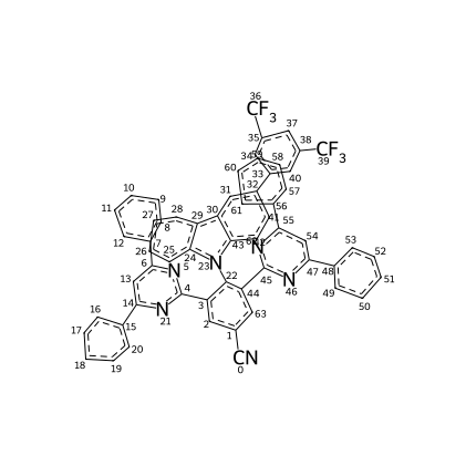 N#Cc1cc(-c2nc(-c3ccccc3)cc(-c3ccccc3)n2)c(-n2c3ccccc3c3cc(-c4cc(C(F)(F)F)cc(C(F)(F)F)c4)ccc32)c(-c2nc(-c3ccccc3)cc(-c3ccccc3)n2)c1